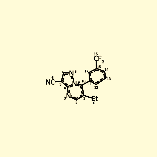 CCc1cnc2c(C#N)cnn2c1-c1cccc(C(F)(F)F)c1